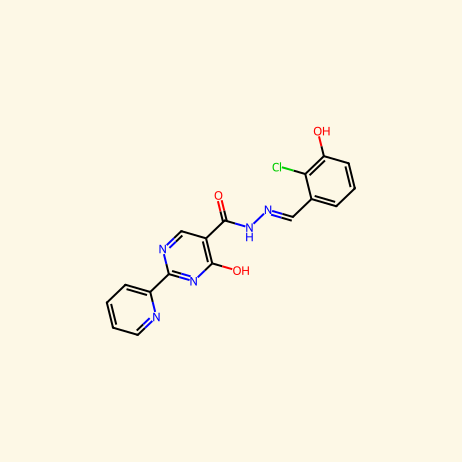 O=C(N/N=C/c1cccc(O)c1Cl)c1cnc(-c2ccccn2)nc1O